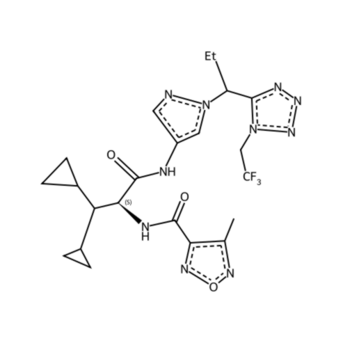 CCC(c1nnnn1CC(F)(F)F)n1cc(NC(=O)[C@@H](NC(=O)c2nonc2C)C(C2CC2)C2CC2)cn1